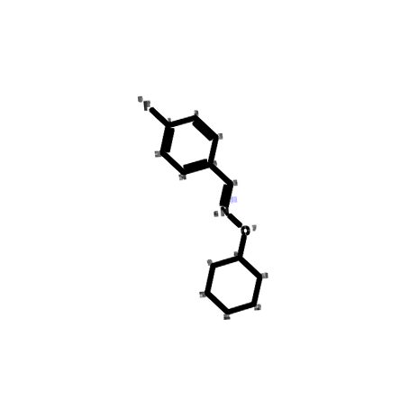 Fc1ccc(/[C]=N/OC2CCCCC2)cc1